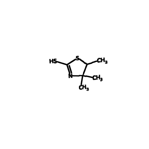 CC1SC(S)=NC1(C)C